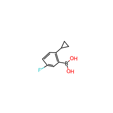 OB(O)c1cc(F)ccc1C1CC1